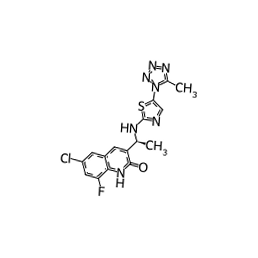 Cc1nnnn1-c1cnc(N[C@@H](C)c2cc3cc(Cl)cc(F)c3[nH]c2=O)s1